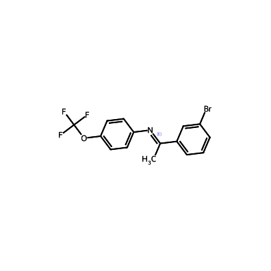 C/C(=N\c1ccc(OC(F)(F)F)cc1)c1cccc(Br)c1